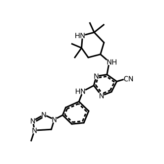 CN1CN(c2cccc(Nc3ncc(C#N)c(NC4CC(C)(C)NC(C)(C)C4)n3)c2)N=N1